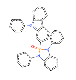 O=P1(c2ccc3c4ccccc4n(-c4ccccc4)c3c2)N(c2ccccc2)c2ccccc2N1c1ccccc1